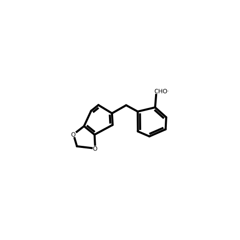 O=[C]c1ccccc1Cc1ccc2c(c1)OCO2